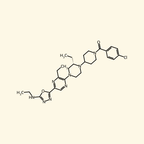 CCNc1nnc(-c2cnc(N3CCN(C4CCN(C(=O)c5ccc(Cl)cc5)CC4)[C@@H](CC)C3)c(CC)n2)o1